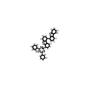 c1ccc(C2=NC(c3cccc4c3sc3cccc(-c5cccc6c5sc5ccccc56)c34)=NC(c3ccccc3)N2)cc1